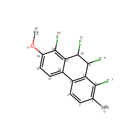 CCCc1ccc2c(c1F)C(F)C(F)c1c-2ccc(OCC)c1F